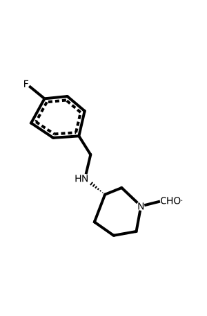 O=[C]N1CCC[C@H](NCc2ccc(F)cc2)C1